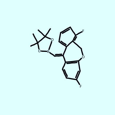 CC1(C)OB(C=C2c3ccc(F)cc3OCc3c(F)cccc32)OC1(C)C